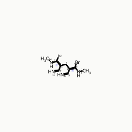 CN/C(Br)=C(\C=N)C/C(C=N)=C(\I)NC